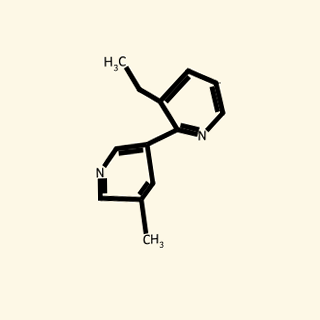 CCc1c[c]cnc1-c1cncc(C)c1